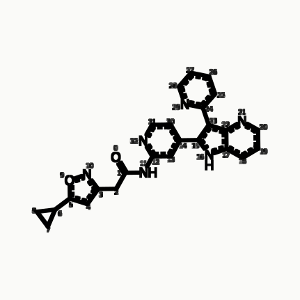 O=C(Cc1cc(C2CC2)on1)Nc1cc(-c2[nH]c3cccnc3c2-c2ccccn2)ccn1